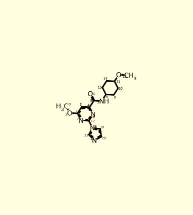 COc1cc(C(=O)NC2CCC(OC)CC2)nc(-n2ccnc2)n1